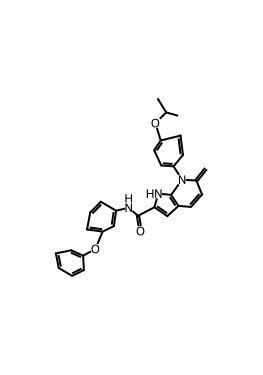 C=C1C=Cc2cc(C(=O)Nc3cccc(Oc4ccccc4)c3)[nH]c2N1c1ccc(OC(C)C)cc1